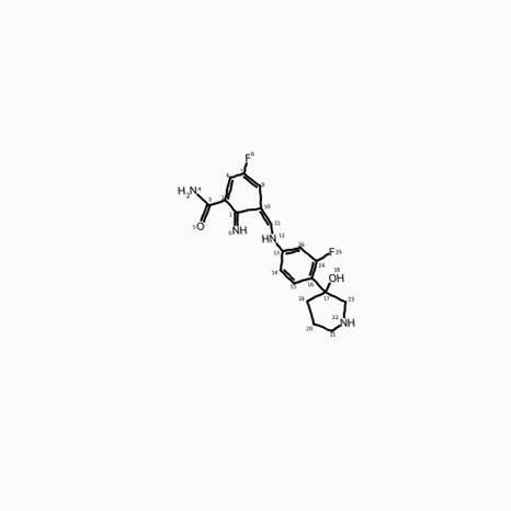 N=C1C(C(N)=O)=CC(F)=C/C1=C/Nc1ccc(C2(O)CCCNC2)c(F)c1